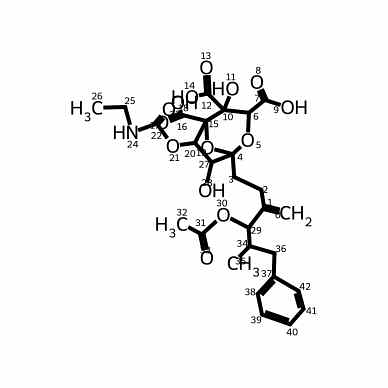 C=C(CCC12OC(C(=O)O)C(O)(C(=O)O)C(C(=O)O)(O1)C(OC(=O)NCC)C2O)C(OC(C)=O)C(C)Cc1ccccc1